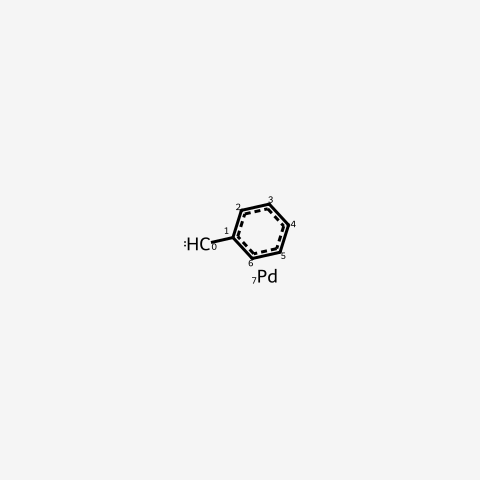 [CH]c1ccccc1.[Pd]